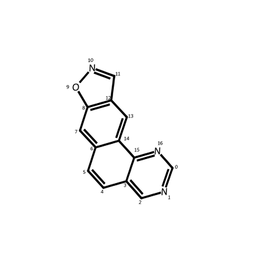 c1ncc2ccc3cc4oncc4cc3c2n1